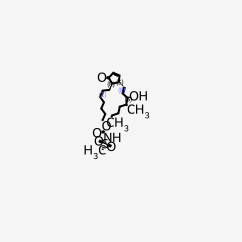 CCCCC(C)[C@H](O)/C=C/[C@H]1C=CC(=O)[C@@H]1C/C=C\CCCCOC(=O)NS(C)(=O)=O